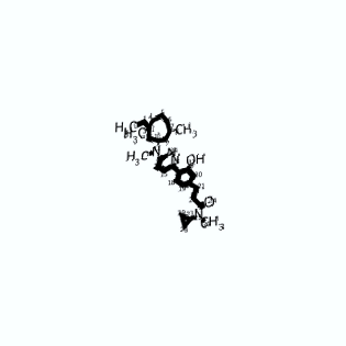 CC[C@]1(C)CCC[C@H](C)C[C@H](N(C)c2ccc(-c3ccc(/C=C/C(=O)N(C)C4CC4)cc3O)nn2)C1